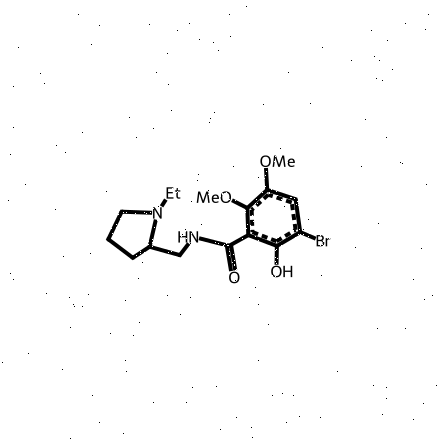 CCN1CCCC1CNC(=O)c1c(O)c(Br)cc(OC)c1OC